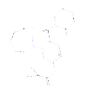 C=C(Nc1ccc(C(=C)N2CCN(C)CC2C)c(N2CCCCCC2)c1)C1CC1